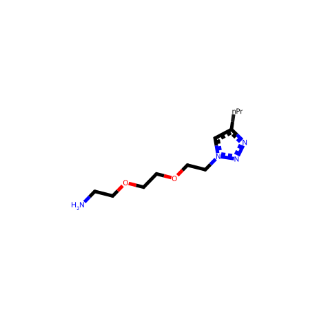 [CH2]CCc1cn(CCOCCOCCN)nn1